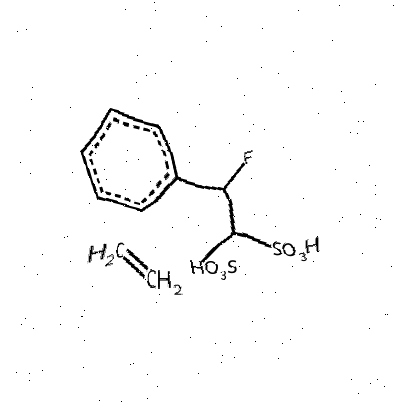 C=C.O=S(=O)(O)C(C(F)c1ccccc1)S(=O)(=O)O